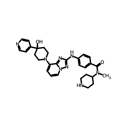 CN(C(=O)c1ccc(Nc2nc3c(N4CCC(O)(c5ccncc5)CC4)cccn3n2)cc1)C1CCNCC1